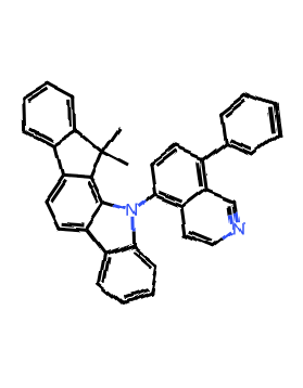 CC1(C)c2ccccc2-c2ccc3c4ccccc4n(-c4ccc(-c5ccccc5)c5cnccc45)c3c21